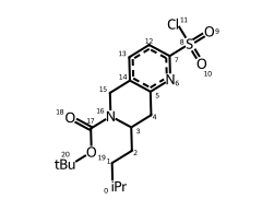 CC(C)CCC1Cc2nc(S(=O)(=O)Cl)ccc2CN1C(=O)OC(C)(C)C